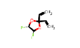 C=CC1(C=C)O[C@@H](F)[C@H](F)O1